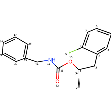 C[C@@H](Cc1ccccc1F)OC(=O)NCc1ccccc1